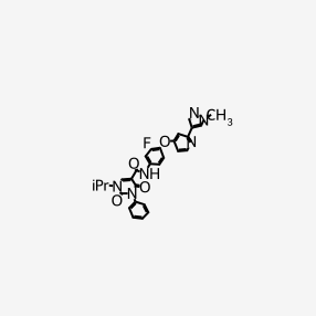 CC(C)n1cc(C(=O)Nc2ccc(Oc3ccnc(-c4cnn(C)c4)c3)c(F)c2)c(=O)n(-c2ccccc2)c1=O